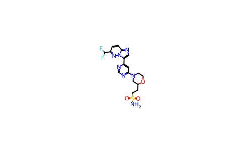 NS(=O)(=O)CCC1CN(c2cc(-c3cnc4ccc(C(F)F)nn34)ncn2)CCO1